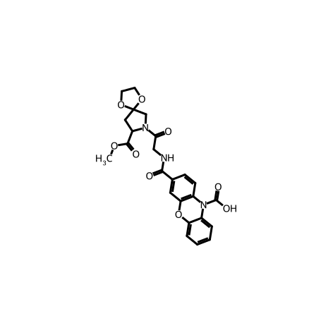 COC(=O)C1CC2(CN1C(=O)CNC(=O)c1ccc3c(c1)Oc1ccccc1N3C(=O)O)OCCO2